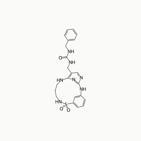 O=C(NCc1ccccc1)NCc1cnc2nc1NCCCNS(=O)(=O)c1cccc(c1)N2